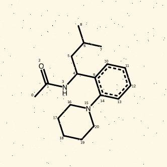 CC(=O)NC(CC(C)C)c1ccccc1N1CCCCC1